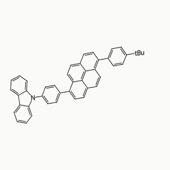 CC(C)(C)c1ccc(-c2ccc3ccc4c(-c5ccc(-n6c7ccccc7c7ccccc76)cc5)ccc5ccc2c3c54)cc1